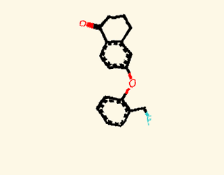 O=C1CCCc2cc(Oc3ccccc3CF)ccc21